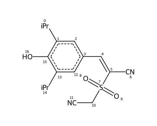 CC(C)c1cc(C=C(C#N)S(=O)(=O)CC#N)cc(C(C)C)c1O